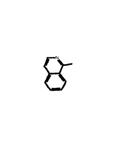 Cc1n[c]cc2ccccc12